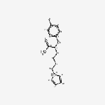 Cc1ccc(OC(CCCC[SH]2C=CC=C2)C(=O)O)cc1